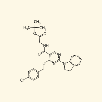 CC(C)(C)OC(=O)CNC(=O)c1cnc(N2CCc3ccccc32)nc1OCc1ccc(Cl)cc1